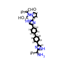 CC(C)C(C=O)N(C(=O)O)N1CCC[C@H]1c1nc(-c2ccc(-c3ccc(-c4c[nH]c([C@@H](N)C(C)C)n4)cc3)cc2)c[nH]1